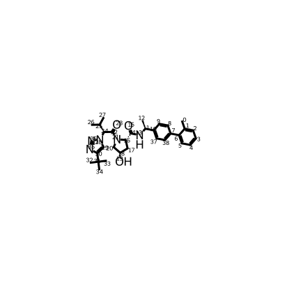 Cc1ccccc1-c1ccc([C@H](C)NC(=O)[C@@H]2C[C@@H](O)CN2C(=O)[C@H](C(C)C)n2cc(C(C)(C)C)nn2)cc1